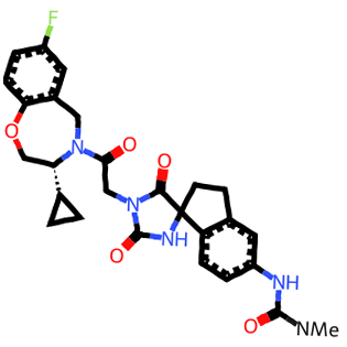 CNC(=O)Nc1ccc2c(c1)CCC21NC(=O)N(CC(=O)N2Cc3cc(F)ccc3OC[C@H]2C2CC2)C1=O